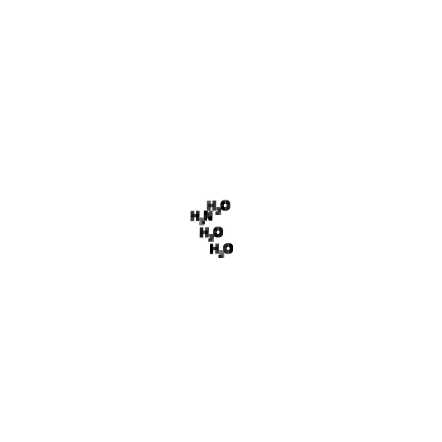 N.O.O.O